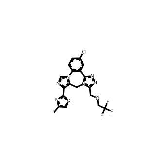 Cc1coc(-c2ncn3c2Cn2c(COCC(F)(F)F)nnc2-c2cc(Cl)ccc2-3)n1